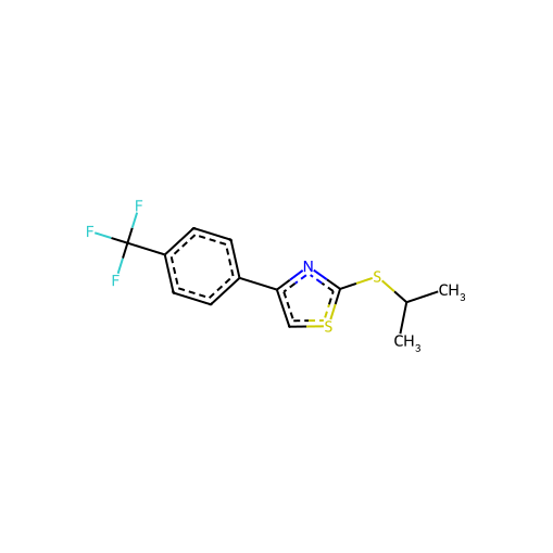 CC(C)Sc1nc(-c2ccc(C(F)(F)F)cc2)cs1